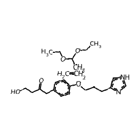 C=C.CCOC(C)OCC.O=C(CCO)Cc1ccc(OCCCc2c[nH]cn2)cc1